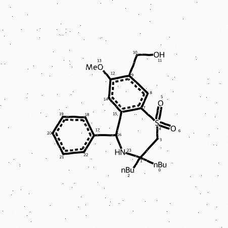 CCCCC1(CCCC)CS(=O)(=O)c2cc(CO)c(OC)cc2C(c2ccccc2)N1